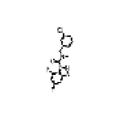 O=C(NCc1cccc(Cl)c1)n1nnc2cc(F)cc(F)c21